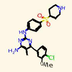 COc1cc(-c2nc(Nc3ccc(S(=O)(=O)C4CCNCC4)cc3)nc(N)c2C)ccc1Cl